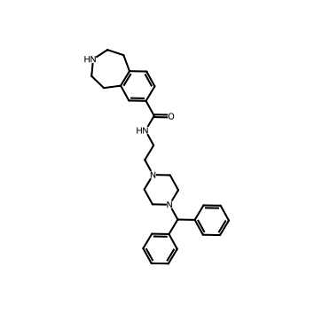 O=C(NCCN1CCN(C(c2ccccc2)c2ccccc2)CC1)c1ccc2c(c1)CCNCC2